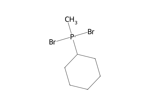 C[P](Br)(Br)C1CCCCC1